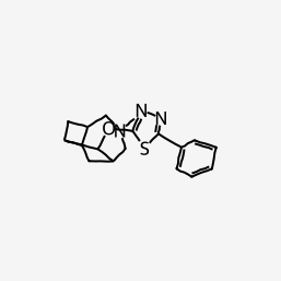 CN1CC2CC3C2CC(C1)C3Oc1nnc(-c2ccccc2)s1